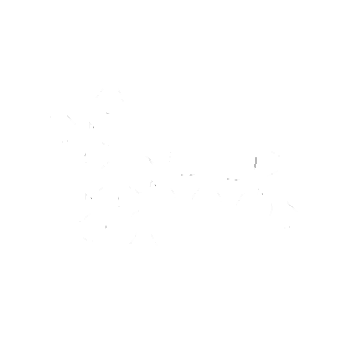 c1ccc(-n2c3ccccc3c3cc(-c4ccc5c(c4)c4ccccc4n5-c4cc5c(-c6ccc7c(c6)c6ccccc6n7-c6ccccc6)nc6ccccc6c5c5c4sc4ccccc45)ccc32)cc1